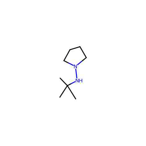 CC(C)(C)NN1CCCC1